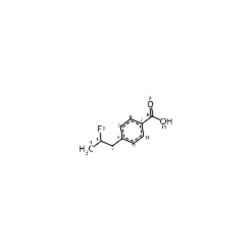 CC(F)Cc1ccc(C(=O)O)cc1